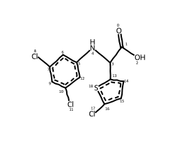 O=C(O)C(Nc1cc(Cl)cc(Cl)c1)c1ccc(Cl)s1